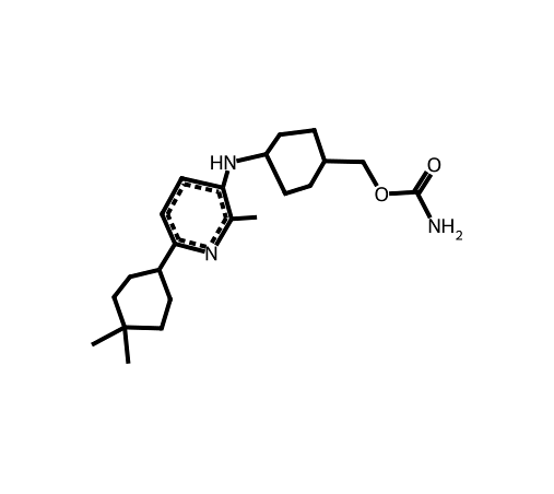 Cc1nc(C2CCC(C)(C)CC2)ccc1NC1CCC(COC(N)=O)CC1